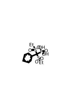 CCS(=O)(=O)C(c1ccccc1)(P(=O)(O)O)S(=O)(=O)CC